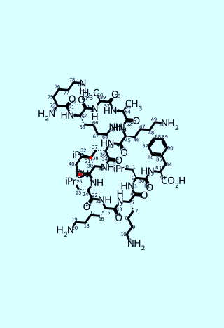 CC(C)C[C@H](NC(=O)[C@H](CCCCN)NC(=O)[C@H](CCCCN)NC(=O)[C@H](CC(C)C)NC(=O)[C@H](CC(C)C)NC(=O)[C@H](CCCCN)NC(=O)[C@H](CCCCN)NC(=O)[C@H](C)NC(=O)[C@H](C)NC(=O)[C@H](CCCCN)NC(=O)[C@@H](N)CCCCN)C(=O)N[C@@H](Cc1ccccc1)C(=O)O